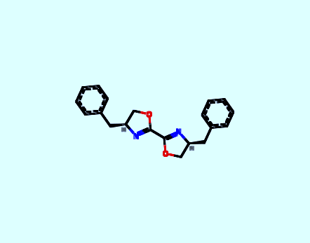 c1ccc(C[C@H]2COC(C3=N[C@@H](Cc4ccccc4)CO3)=N2)cc1